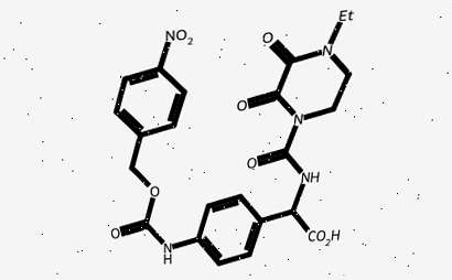 CCN1CCN(C(=O)NC(C(=O)O)c2ccc(NC(=O)OCc3ccc([N+](=O)[O-])cc3)cc2)C(=O)C1=O